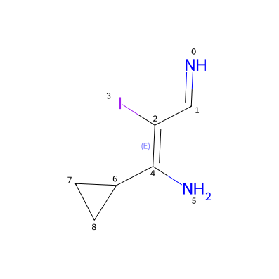 N=C/C(I)=C(\N)C1CC1